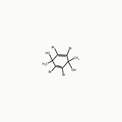 CC1(O)C(Br)=C(Br)C(C)(O)C(Br)=C1Br